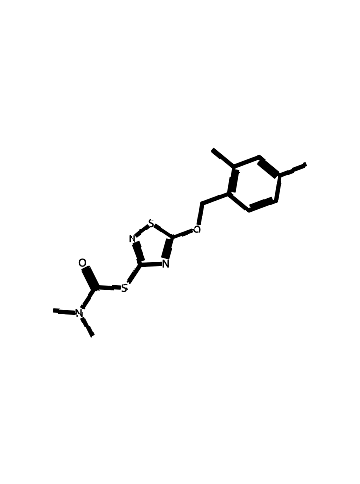 Cc1ccc(COc2nc(SC(=O)N(C)C)ns2)c(C)c1